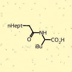 CCCCCCCCC(=O)NC(C(=O)O)C(C)CC